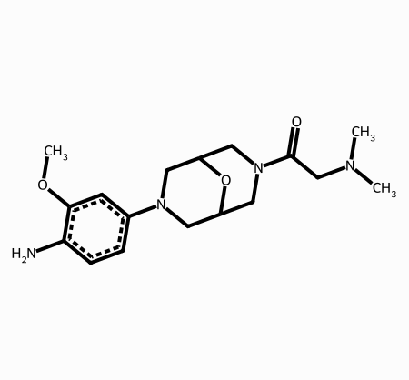 COc1cc(N2CC3CN(C(=O)CN(C)C)CC(C2)O3)ccc1N